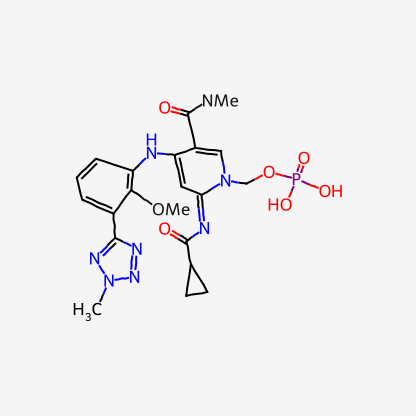 CNC(=O)c1cn(COP(=O)(O)O)/c(=N/C(=O)C2CC2)cc1Nc1cccc(-c2nnn(C)n2)c1OC